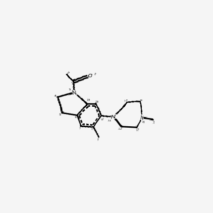 CC(=O)N1CCc2cc(C)c(N3CCN(C)CC3)cc21